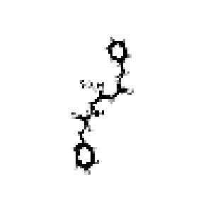 O=C(CC(CNC(=O)OCc1ccccc1)S(=O)(=O)O)OCc1ccccc1